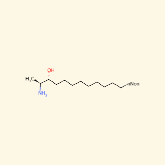 CCCCCCCCCCCCCCCCCC[C@@H](O)[C@H](C)N